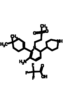 CC1(C)CC=C(C2=C(N)C=CC(C3CCNCC3)N2CCS(C)(=O)=O)CC1.O=C(O)C(F)(F)F